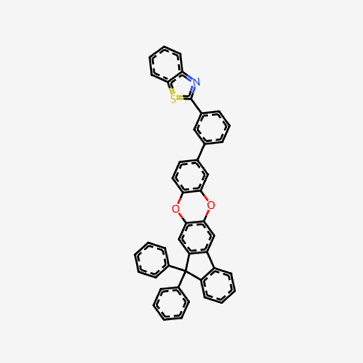 c1ccc(C2(c3ccccc3)c3ccccc3-c3cc4c(cc32)Oc2ccc(-c3cccc(-c5nc6ccccc6s5)c3)cc2O4)cc1